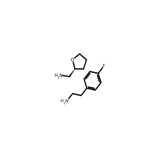 NCCc1ccc(F)cc1.NC[C@@H]1CCCO1